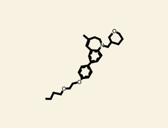 CCCCOCCOc1ccc(-c2ccc3c(c2)C=C(C)CCN3CC2CCCOC2)cc1